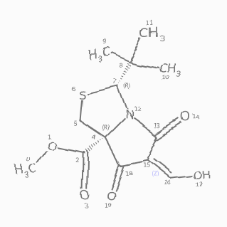 COC(=O)[C@]12CS[C@H](C(C)(C)C)N1C(=O)/C(=C\O)C2=O